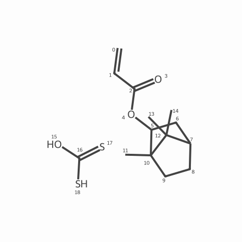 C=CC(=O)OC1CC2CCC1(C)C2(C)C.OC(=S)S